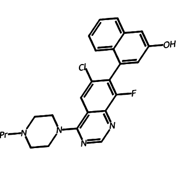 CCCN1CCN(c2ncnc3c(F)c(-c4cc(O)cc5ccccc45)c(Cl)cc23)CC1